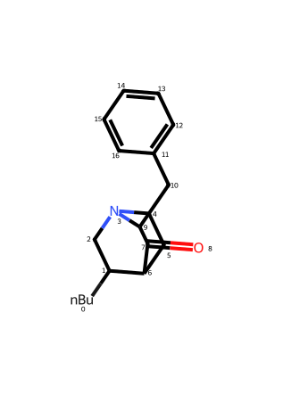 CCCCC1CN2CCC1C(=O)C2Cc1ccccc1